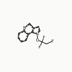 FCC(F)(F)On1ccc2cnc3ccccc3c21